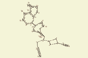 N#CCC(C1CC(C#N)C1)n1cc(-c2cnnc3[nH]ccc23)cn1